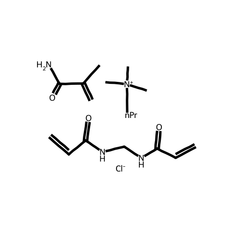 C=C(C)C(N)=O.C=CC(=O)NCNC(=O)C=C.CCC[N+](C)(C)C.[Cl-]